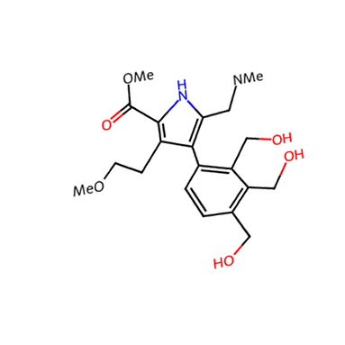 CNCc1[nH]c(C(=O)OC)c(CCOC)c1-c1ccc(CO)c(CO)c1CO